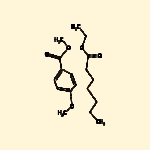 CCCCCCC(=O)OCC.COC(=O)c1ccc(OC)cc1